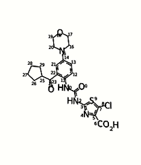 O=C(Nc1nc(C(=O)O)c(Cl)s1)Nc1ccc(N2CCOCC2)cc1C(=O)C1CCCC1